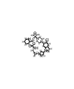 CC1(N2CCN(c3cc4c(cnn4-c4cnn(C5CC5CNC(=O)OCc5ccccc5)c4)cc3Cl)CC2)COC1